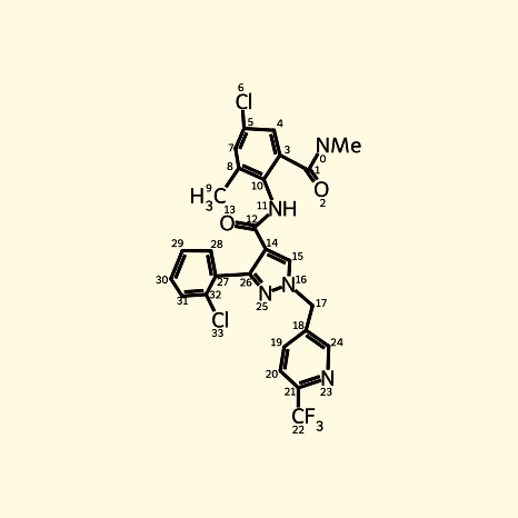 CNC(=O)c1cc(Cl)cc(C)c1NC(=O)c1cn(Cc2ccc(C(F)(F)F)nc2)nc1-c1ccccc1Cl